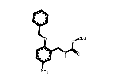 CC(C)(C)OC(=O)NCc1cc(N)ccc1OCc1ccccc1